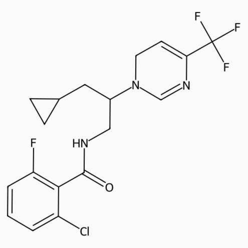 O=C(NCC(CC1CC1)N1C=NC(C(F)(F)F)=CC1)c1c(F)cccc1Cl